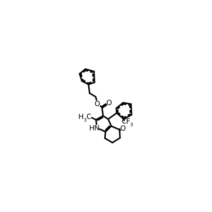 CC1=C(C(=O)OCCc2ccccc2)C(c2ccccc2C(F)(F)F)C2=C(CCCC2=O)N1